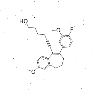 COc1ccc2c(c1)CCCC(c1ccc(F)c(OC)c1)=C2C#CCCCCO